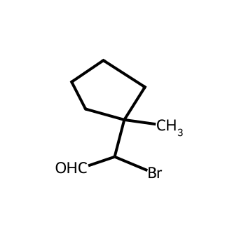 CC1(C(Br)C=O)CCCC1